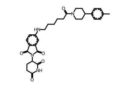 Cc1ccc(C2CCN(C(=O)CCCCCNc3ccc4c(c3)C(=O)N(C3CCC(=O)NC3=O)C4=O)CC2)cc1